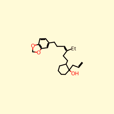 C=CCC1(O)CCCCC1CCC(=CCCc1ccc2c(c1)OCO2)CC